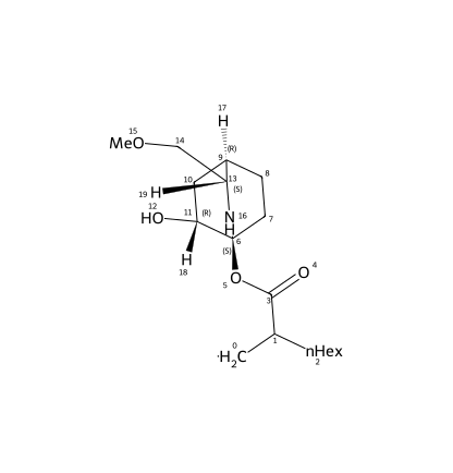 [CH2]C(CCCCCC)C(=O)O[C@@]12CC[C@H](C[C@H]1O)[C@@H](COC)N2